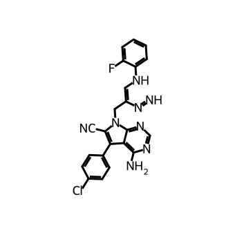 N#Cc1c(-c2ccc(Cl)cc2)c2c(N)ncnc2n1C/C(=C/Nc1ccccc1F)N=N